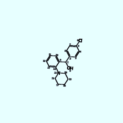 OC(c1ccc(Cl)cc1)c1ccccc1N1CCCCC1